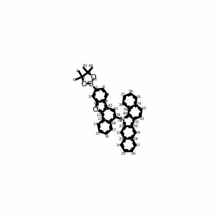 CC1(C)OB(c2ccc3c(c2)oc2c4ccccc4c(-n4c5cc6ccccc6cc5c5ccc6ccccc6c54)cc32)OC1(C)C